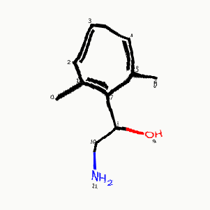 Cc1cccc(C)c1C(O)CN